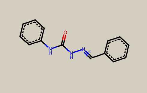 O=C(N/N=C/c1ccccc1)Nc1ccccc1